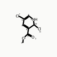 COC(=O)C1=CC(Cl)=CNC1Cl